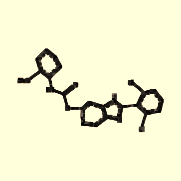 COc1ccccc1NC(=O)Oc1ccc2nc(-c3c(Cl)cccc3Cl)[nH]c2c1